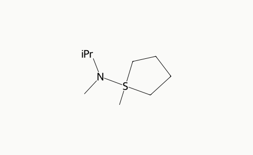 CC(C)N(C)S1(C)CCCC1